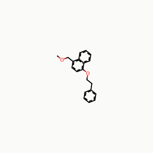 COCc1ccc(OCCc2ccccc2)c2ccccc12